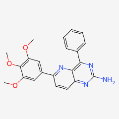 COc1cc(-c2ccc3nc(N)nc(-c4ccccc4)c3n2)cc(OC)c1OC